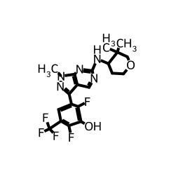 Cn1nc(-c2cc(C(F)(F)F)c(F)c(O)c2F)c2cnc(NC3CCOCC3(C)C)nc21